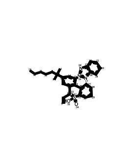 C=CCc1cc(C(C)(C)CCCCC)cc(-n2nc3ccccc3n2)c1-c1ccccc1S(=O)(=O)O